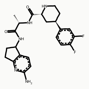 C[C@H](NC(=O)[C@H]1C[C@H](c2ccc(F)c(F)c2)CCN1)C(=O)NC1CCc2nc(N)ccc21